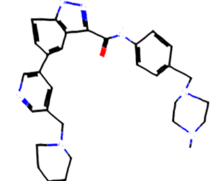 CN1CCN(Cc2ccc(NC(=O)c3n[nH]c4ccc(-c5cncc(CN6CCCCC6)c5)cc34)cc2)CC1